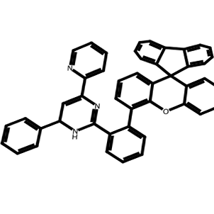 C1=C(c2ccccn2)N=C(c2ccccc2-c2cccc3c2Oc2ccccc2C32c3ccccc3-c3ccccc32)NC1c1ccccc1